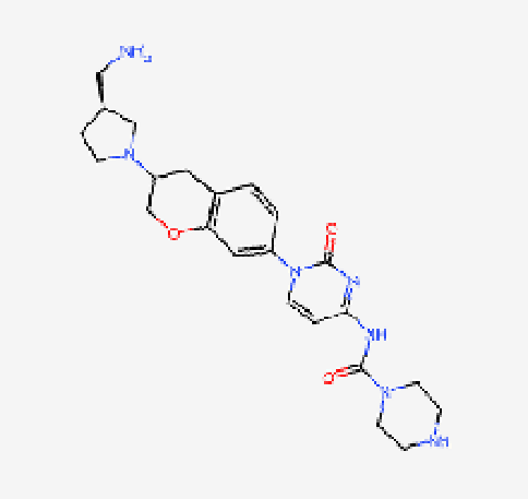 NC[C@@H]1CCN(C2COc3cc(-n4ccc(NC(=O)N5CCNCC5)nc4=O)ccc3C2)C1